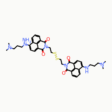 CN(C)CCCNc1ccc2c3c(cccc13)C(=O)N(CCSSCCN1C(=O)c3cccc4c(N(N)CCCN(C)C)ccc(c34)C1=O)C2=O